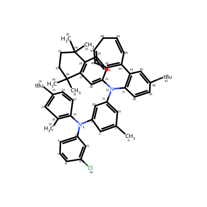 Cc1cc(N(c2cccc(Cl)c2)c2ccc(C(C)(C)C)cc2C)cc(N(c2ccc3c(c2)C(C)(C)CCC3(C)C)c2ccc(C(C)(C)C)cc2C2=CC=CCC=C2)c1